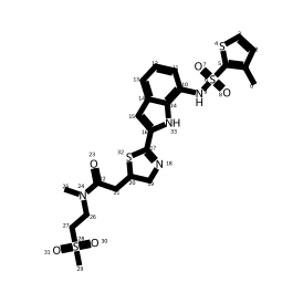 Cc1ccsc1S(=O)(=O)Nc1cccc2cc(C3=NCC(CC(=O)N(C)CCS(C)(=O)=O)S3)[nH]c12